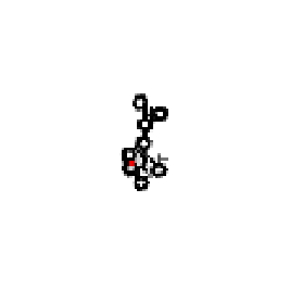 C1=CCC(C2CCCCC2C2NC3C=CCCC3NC2N2C3=CCC(C4=CC5C6CCC=CC6N(C6CCCCC6)C5CC4)CC3C3C=CCCC32)CC1